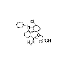 NC(=O)C1CCCc2c1c1c(OCC(=O)O)ccc(Cl)c1n2Cc1ccccc1